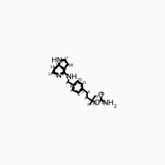 CC(C)(CCc1ccc(CNc2nccc3[nH]ccc23)cc1)OC(N)=O